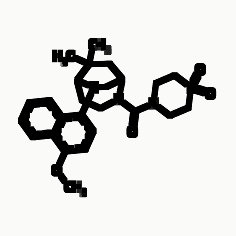 COc1ccc(N2CC3CC(C)(C)C2CCN3C(=O)N2CCS(=O)(=O)CC2)c2ccccc12